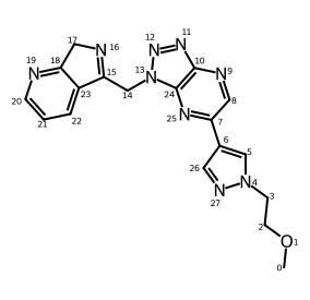 COCCn1cc(-c2cnc3nnn(CC4=NCc5ncccc54)c3n2)cn1